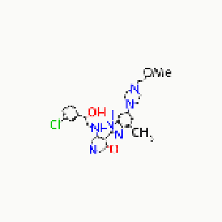 COCCN1CCN(c2cc(C)c3nc(C4=C(NC[C@@H](O)c5cccc(Cl)c5)C=NCC4=O)[nH]c3c2)CC1